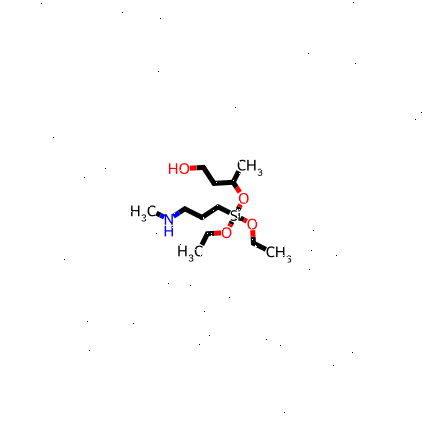 CCO[Si](CCCNC)(OCC)OC(C)CCO